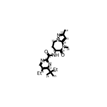 CCc1cnc(C(=O)N[C@H]2CCn3nc(C)cc3N(C)C2=O)nc1C(C)(C)CC